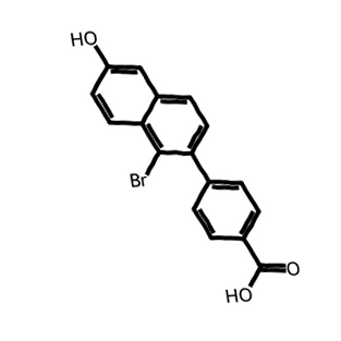 O=C(O)c1ccc(-c2ccc3cc(O)ccc3c2Br)cc1